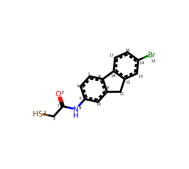 O=C(CS)Nc1ccc2c(c1)Cc1cc(Br)ccc1-2